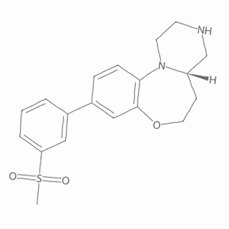 CS(=O)(=O)c1cccc(-c2ccc3c(c2)OCC[C@H]2CNCCN32)c1